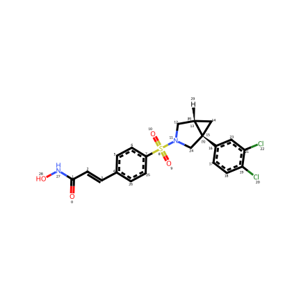 O=C(C=Cc1ccc(S(=O)(=O)N2C[C@@H]3C[C@]3(c3ccc(Cl)c(Cl)c3)C2)cc1)NO